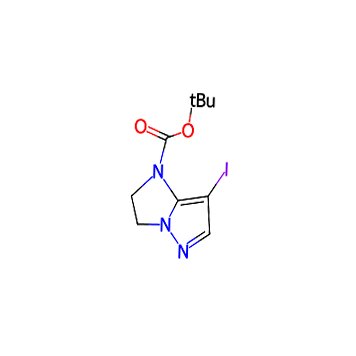 CC(C)(C)OC(=O)N1CCn2ncc(I)c21